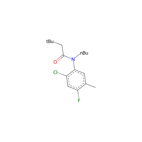 CCCCN(C(=O)CC(C)(C)C)c1cc(C)c(F)cc1Cl